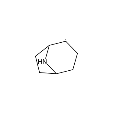 [CH]1CCC2CCC1N2